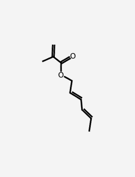 C=C(C)C(=O)OCC=CC=CC